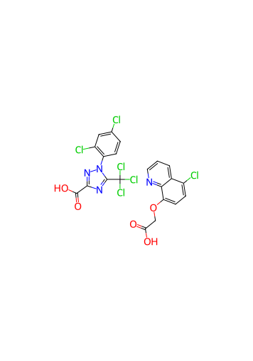 O=C(O)COc1ccc(Cl)c2cccnc12.O=C(O)c1nc(C(Cl)(Cl)Cl)n(-c2ccc(Cl)cc2Cl)n1